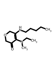 CCCCCNC1=C(N(C)CC)C(=O)COC1